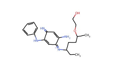 CCC(CCC(C)OCCO)/N=C1/C=C(Nc2ccccc2)C(=N)C=C1N